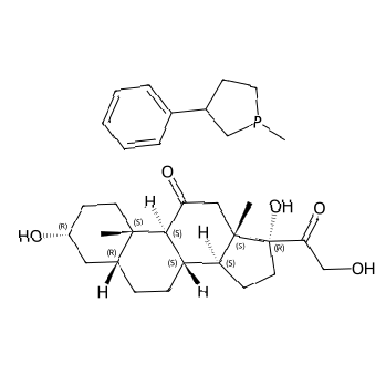 CP1CCC(c2ccccc2)C1.C[C@]12CC[C@@H](O)C[C@H]1CC[C@@H]1[C@@H]2C(=O)C[C@@]2(C)[C@H]1CC[C@]2(O)C(=O)CO